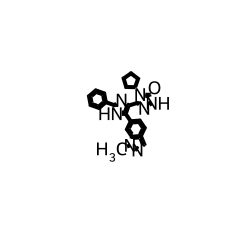 Cn1ncc2ccc(-c3[nH]c(-c4ccccc4)nc3-c3n[nH]c(=O)n3C3CCCC3)cc21